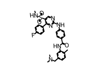 CNS(=O)(=O)c1cnc(Nc2ccc(C(=O)Nc3cc(CN(C)C)ccc3C)cc2)nc1-c1ccc(F)cc1